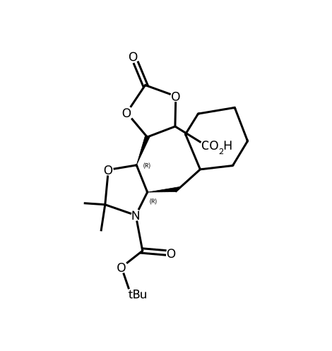 CC(C)(C)OC(=O)N1[C@H](CC2CCCCC2)[C@H](C2OC(=O)OC2C(=O)O)OC1(C)C